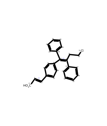 O=C(O)/C=C/c1ccc(/C(=C(/CCCl)c2ccccc2)c2ccccc2)cc1